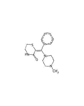 CN1CCN(C(=C2SCCNC2=O)c2ccccc2)CC1